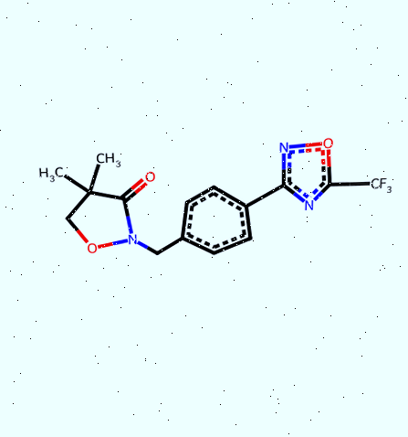 CC1(C)CON(Cc2ccc(-c3noc(C(F)(F)F)n3)cc2)C1=O